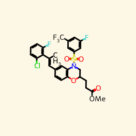 COC(=O)CCC1CN(S(=O)(=O)c2cc(F)cc(C(F)(F)F)c2)c2cc(C=C(C)c3c(F)cccc3Cl)ccc2O1